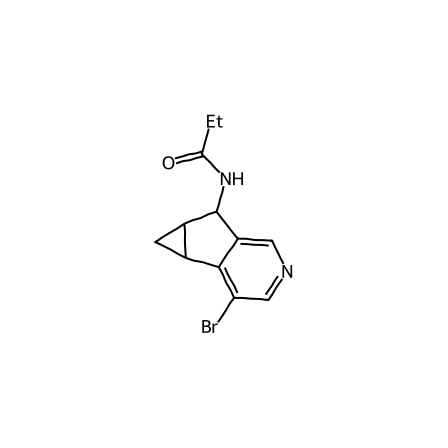 CCC(=O)NC1c2cncc(Br)c2C2CC21